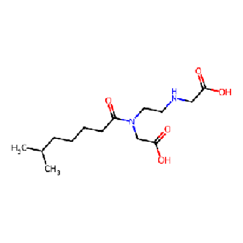 CC(C)CCCCC(=O)N(CCNCC(=O)O)CC(=O)O